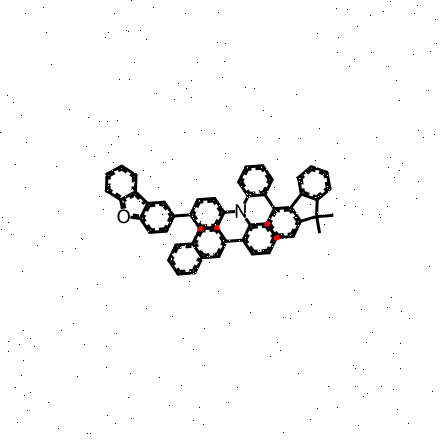 CC1(C)c2ccccc2-c2c(-c3ccccc3N(c3ccc(-c4ccc5oc6ccccc6c5c4)cc3)c3ccccc3-c3ccc4ccccc4c3)cccc21